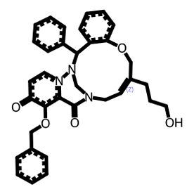 O=C1c2c(OCc3ccccc3)c(=O)ccn2N2CN1C/C=C(/CCCO)COc1ccccc1C2c1ccccc1